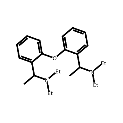 CCN(CC)C(C)c1ccccc1Oc1ccccc1C(C)N(CC)CC